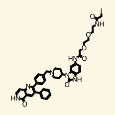 O=C(CI)NCCOCCOCC(=O)Nc1ccc2[nH]c(=O)n(C3CCN(Cc4ccc(-c5nc6cc[nH]c(=O)c6cc5-c5ccccc5)cc4)CC3)c2c1